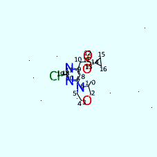 CC1COCCN1c1cc(CS(=O)(=O)C2CC2)nc(Cl)n1